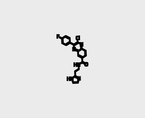 O=C(NCCc1ncc[nH]1)c1ccc2nc(Cl)c(-c3ccc(F)cc3)nc2c1